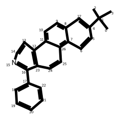 CC(C)(C)c1ccc2c(ccc3c4ccnc(-c5ccccc5)c4ccc23)c1